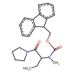 CN(C(=O)OCC1c2ccccc2-c2ccccc21)C(CC(=O)O)C(=O)N1CCCC1